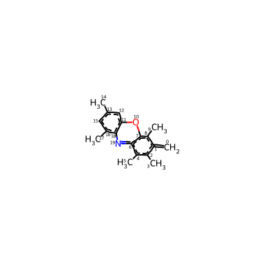 C=c1c(C)c(C)c2c(c1C)Oc1cc(C)cc(C)c1N=2